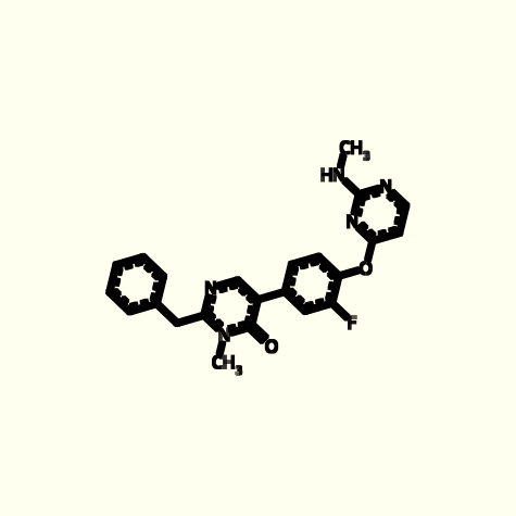 CNc1nccc(Oc2ccc(-c3cnc(Cc4ccccc4)n(C)c3=O)cc2F)n1